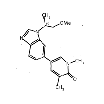 COC[C@@H](C)n1cnc2ccc(-c3cc(C)c(=O)n(C)c3)cc21